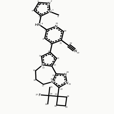 Cn1nccc1Nc1cc(-c2cc3n(c2)CCCn2c-3nnc2C2(C(C)(C)F)CCC2)c(C#N)cn1